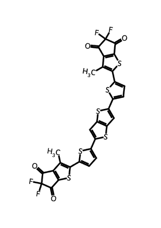 Cc1c(-c2ccc(-c3cc4sc(-c5ccc(-c6sc7c(c6C)C(=O)C(F)(F)C7=O)s5)cc4s3)s2)sc2c1C(=O)C(F)(F)C2=O